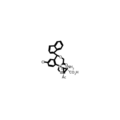 CC(=O)[C@@H]1[C@@H]([N+]2(CC(C)(C)C)C(=O)COC(c3cccc4ccccc34)c3cc(Cl)ccc32)[C@]1(N)C(=O)O